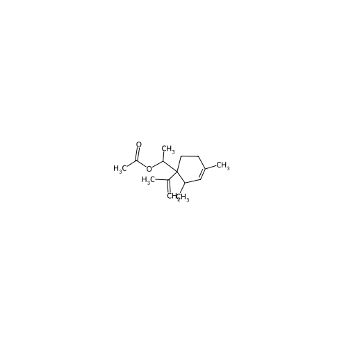 C=C(C)C1(C(C)OC(C)=O)CCC(C)=CC1C